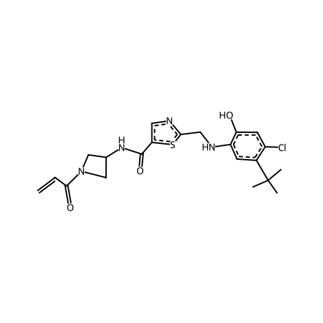 C=CC(=O)N1CC(NC(=O)c2cnc(CNc3cc(C(C)(C)C)c(Cl)cc3O)s2)C1